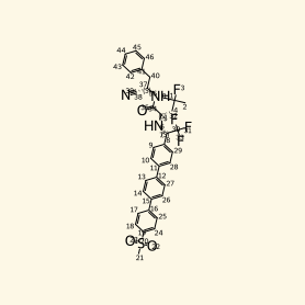 CC(C)(F)C[C@H](N[C@@H](c1ccc(-c2ccc(-c3ccc(S(C)(=O)=O)cc3)cc2)cc1)C(F)(F)F)C(=O)N[C@H](C#N)Cc1ccccc1